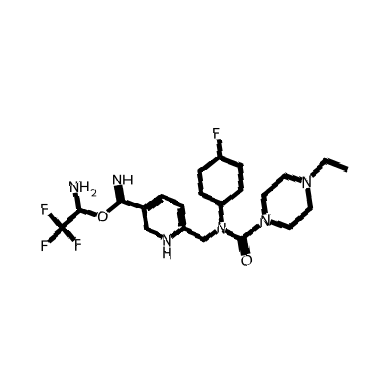 CCN1CCN(C(=O)N(CC2=CC=C(C(=N)OC(N)C(F)(F)F)CN2)C2CCC(F)CC2)CC1